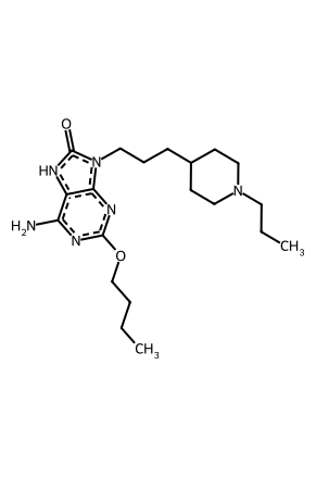 CCCCOc1nc(N)c2[nH]c(=O)n(CCCC3CCN(CCC)CC3)c2n1